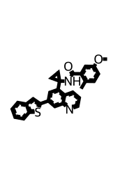 COc1ccc(C)c(C(=O)NC2(c3cc(-c4cc5ccccc5s4)cc4ncccc34)CC2)c1